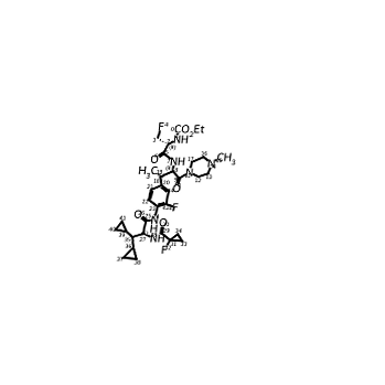 CCOC(=O)N[C@@H](CF)C(=O)N[C@@H](C(=O)N1CCN(C)CC1)[C@@H](C)c1ccc(NC(=O)[C@@H](NC(=O)C2(F)CC2)C(C2CC2)C2CC2)c(F)c1